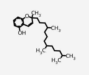 CC(C)CCCC(C)CCCC(C)CCCC1(C)C=Cc2c(O)cccc2O1